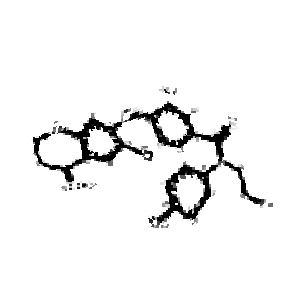 O=C([O-])C1CCOc2cc(Oc3ccc(C(=O)N(CCF)c4ccc(Cl)cc4)cc3)c(Cl)cc21.[Na+]